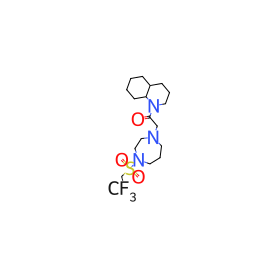 O=C(CN1CCCN(S(=O)(=O)CC(F)(F)F)CC1)N1CCCC2CCCCC21